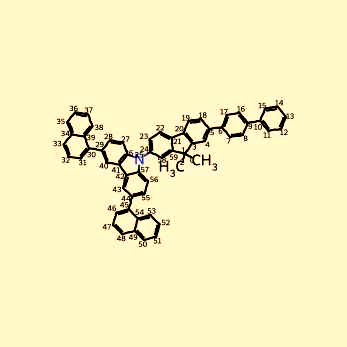 CC1(C)c2cc(-c3ccc(-c4ccccc4)cc3)ccc2-c2ccc(-n3c4ccc(-c5cccc6ccccc56)cc4c4cc(-c5cccc6ccccc56)ccc43)cc21